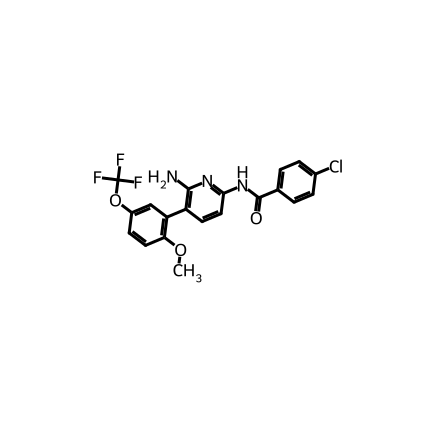 COc1ccc(OC(F)(F)F)cc1-c1ccc(NC(=O)c2ccc(Cl)cc2)nc1N